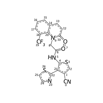 N#Cc1csc(NC(=O)Cn2c(=O)ccc3cccc(C(F)(F)F)c32)c1-c1nccs1